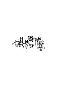 CN1CC[C@@H](Nc2cccn3c([C@H]4CO4)c(-c4noc(CNC(=O)c5ccn(C(C)(C)C)c5)n4)nc23)[C@@H](F)C1